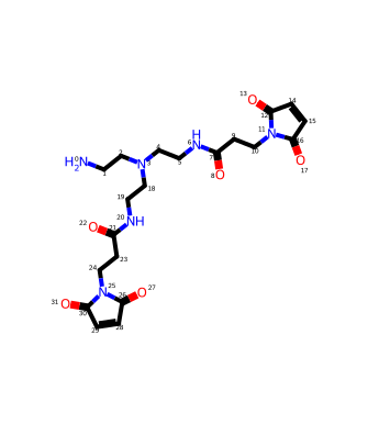 NCCN(CCNC(=O)CCN1C(=O)C=CC1=O)CCNC(=O)CCN1C(=O)C=CC1=O